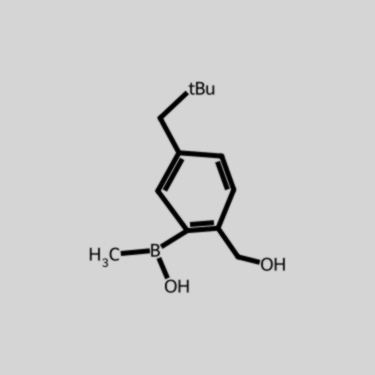 CB(O)c1cc(CC(C)(C)C)ccc1CO